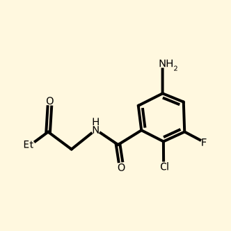 CCC(=O)CNC(=O)c1cc(N)cc(F)c1Cl